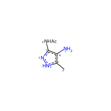 CC(=O)Nc1n[nH]c(C)c1N